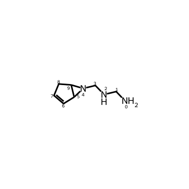 NCNCN1C2C=CCC21